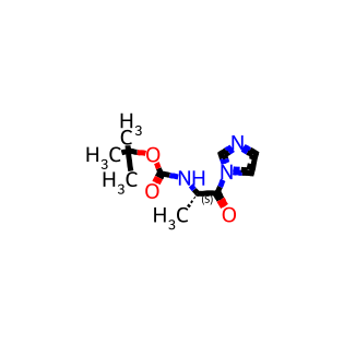 C[C@H](NC(=O)OC(C)(C)C)C(=O)n1ccnc1